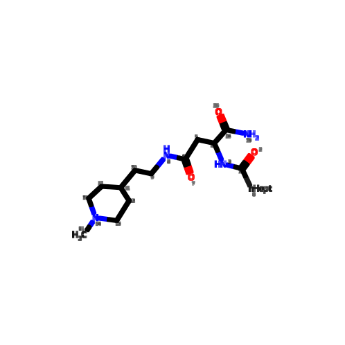 CCCCCCCC(=O)NC(CC(=O)NCCC1CCN(C)CC1)C(N)=O